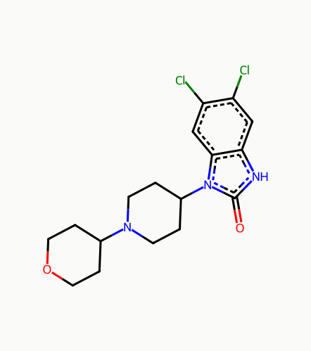 O=c1[nH]c2cc(Cl)c(Cl)cc2n1C1CCN(C2CCOCC2)CC1